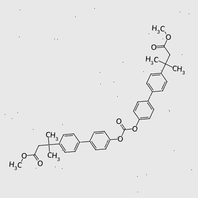 COC(=O)CC(C)(C)c1ccc(-c2ccc(OC(=O)Oc3ccc(-c4ccc(C(C)(C)CC(=O)OC)cc4)cc3)cc2)cc1